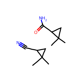 CC1(C)CC1C#N.CC1(C)CC1C(N)=O